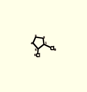 ClC1CCCC1Cl